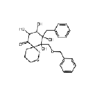 O=C1C(O)C(O)C(O)(Cc2ccccc2)C(O)(COCc2ccccc2)C12CCCSS2